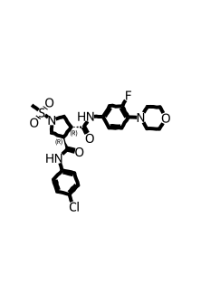 CS(=O)(=O)N1C[C@H](C(=O)Nc2ccc(Cl)cc2)[C@@H](C(=O)Nc2ccc(N3CCOCC3)c(F)c2)C1